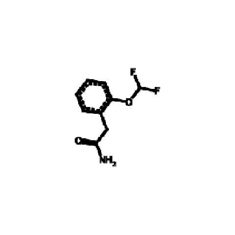 NC(=O)Cc1ccccc1OC(F)F